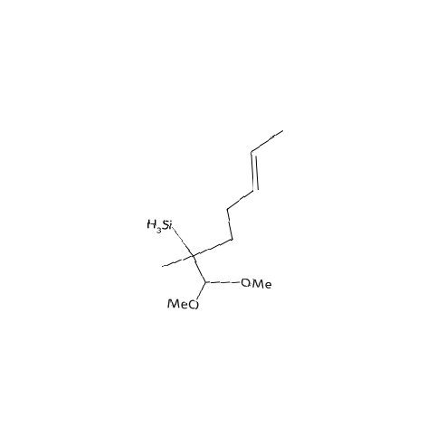 CC=CCCC(C)([SiH3])C(OC)OC